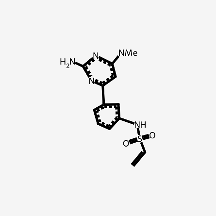 C=CS(=O)(=O)Nc1cccc(-c2cc(NC)nc(N)n2)c1